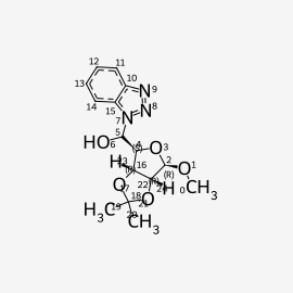 CO[C@@H]1O[C@H](C(O)n2nnc3ccccc32)[C@H]2OC(C)(C)O[C@@H]12